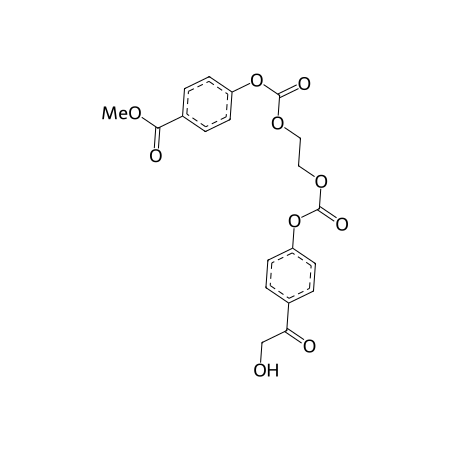 COC(=O)c1ccc(OC(=O)OCCOC(=O)Oc2ccc(C(=O)CO)cc2)cc1